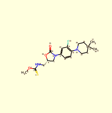 COC(=S)NC[C@H]1CN(c2ccc(N3CC[Si](C)(C)CC3)c(F)c2)C(=O)O1